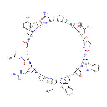 CCCC[C@H]1C(=O)N(C)[C@@H](C)C(=O)N[C@@H](CCCNC(=N)N)C(=O)NC(C(=O)NCC(N)=O)CSCC(=O)N[C@@H](Cc2ccc(O)cc2)C(=O)N(C)[C@@H](C)C(=O)N[C@@H](CC(N)=O)C(=O)N2CCC[C@H]2C(=O)N[C@@H](CO)C(=O)NC(CC(C)C)C(=O)N2CCC[C@H]2C(=O)N[C@@H](Cc2c[nH]c3ccccc23)C(=O)N[C@@H](CO)C(=O)N[C@@H](Cc2c[nH]c3ccccc23)C(=O)N1C